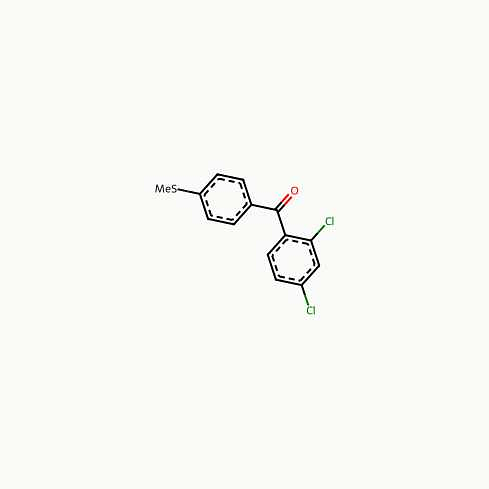 CSc1ccc(C(=O)c2ccc(Cl)cc2Cl)cc1